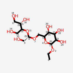 CCO[C@H]1OC(CO[C@H](CO)OC(CO)[C@@H](O)CO)[C@@H](O)C(O)C1O